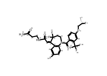 C[C@H](F)COc1ccc(C(=O)N2CCC(F)(F)/C(=C\C(=O)NCCC(N)=O)c3cc(F)ccc32)c(C(F)(F)F)c1